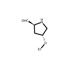 CCO[C@H]1CN[C@H](C=O)C1